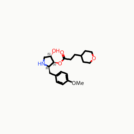 COc1ccc(C[C@H]2NC[C@H](O)[C@H]2OC(=O)CCC2CCOCC2)cc1